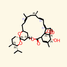 CC1=CC2C(=O)O[C@H]3CC(C/C=C(\C)C[C@@H](C)/C=C/C=C4\CO[C@H]([C@@H]1O)[C@@]42O)O[C@@]1(CC[C@H](C)[C@@H](C(C)C)O1)C3